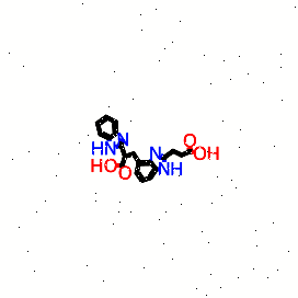 O=C(O)CCc1nc2c(CC(C(=O)O)c3nc4ccccc4[nH]3)cccc2[nH]1